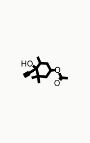 C#CC1(O)C(C)CC(OC(C)=O)CC1(C)C